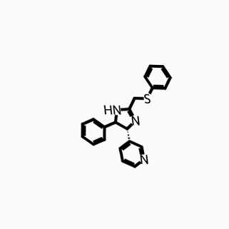 c1ccc(SCC2=N[C@H](c3cccnc3)C(c3ccccc3)N2)cc1